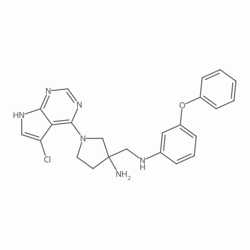 NC1(CNc2cccc(Oc3ccccc3)c2)CCN(c2ncnc3[nH]cc(Cl)c23)C1